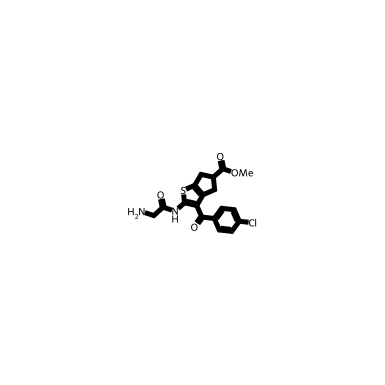 COC(=O)C1Cc2sc(NC(=O)CN)c(C(=O)c3ccc(Cl)cc3)c2C1